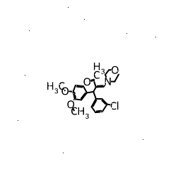 COc1ccc(C(C(=CN2CCOCC2)C(C)=O)c2cccc(Cl)c2)cc1OC